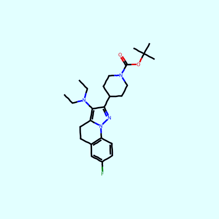 CCN(CC)c1c(C2CCN(C(=O)OC(C)(C)C)CC2)nn2c1CCc1cc(F)ccc1-2